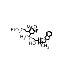 CCOC(=O)CCc1c(OC)cc(F)cc1[C@@H](C)OC[C@H](O)CNC(C)(C)CC1Cc2ccccc2C1